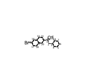 [O-][S+](Cc1ccccc1F)c1ccc2cc(Br)ccc2c1